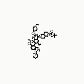 C=Cc1cc2c(N3CCC4CN(C(=O)OC(C)(C)C)CCC4C3)nc(OC3CCN(CC)CC3)nc2c(OCC)c1-c1c(Cl)ccc2c1cnn2C1CCCCO1